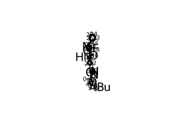 C[C@H](O[Si](C)(C)C(C)(C)C)c1nnc([C@H]2C[C@H](NC(=O)c3onc(-c4ccccc4)c3F)C2)o1